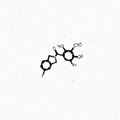 CC(C)c1cc(C(=O)N2Cc3ccc(F)cc3C2)c(O)c(C=O)c1O